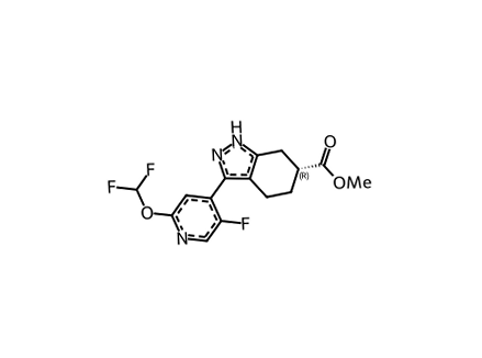 COC(=O)[C@@H]1CCc2c(-c3cc(OC(F)F)ncc3F)n[nH]c2C1